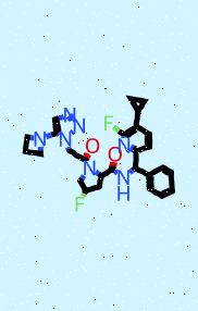 O=C(NC(c1ccccc1)c1ccc(C2CC2)c(F)n1)C1CC(F)CN1C(=O)Cn1nncc1N1CCC1